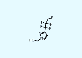 OCn1ccc(C(F)(F)C(F)(F)CF)n1